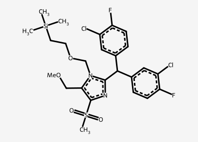 COCc1c(S(C)(=O)=O)nc(C(c2ccc(F)c(Cl)c2)c2ccc(F)c(Cl)c2)n1COCC[Si](C)(C)C